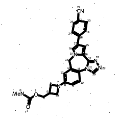 CNC(=O)OCC1CN(c2ccc3c(c2)Cn2cc(-c4ccc(C#N)cc4)cc2-c2nncn2-3)C1